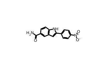 NC(=O)c1ccc2[nH]c(-c3ccc([N+](=O)[O-])cc3)cc2c1